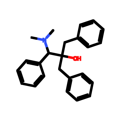 CN(C)C(c1ccccc1)C(O)(Cc1ccccc1)Cc1ccccc1